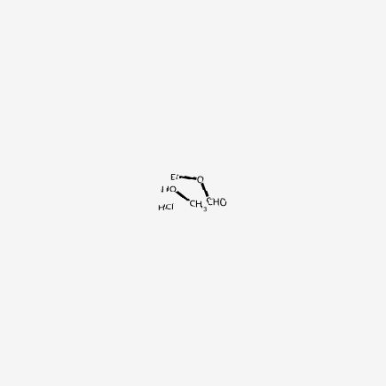 CCOC=O.CO.Cl